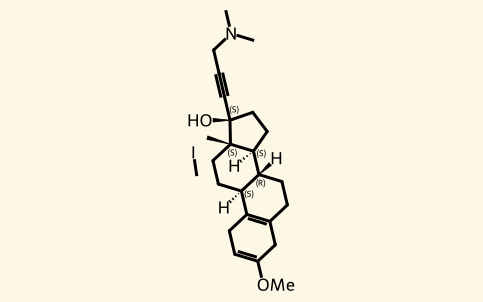 CI.COC1=CCC2=C(CC[C@@H]3[C@@H]2CC[C@@]2(C)[C@H]3CC[C@@]2(O)C#CCN(C)C)C1